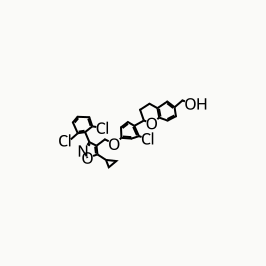 OCc1ccc2c(c1)CCC(c1ccc(OCc3c(-c4c(Cl)cccc4Cl)noc3C3CC3)cc1Cl)O2